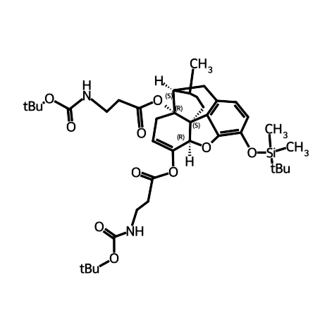 CC1CC[C@]23c4c5ccc(O[Si](C)(C)C(C)(C)C)c4O[C@H]2C(OC(=O)CCNC(=O)OC(C)(C)C)=CC[C@@]3(OC(=O)CCNC(=O)OC(C)(C)C)[C@H]1C5